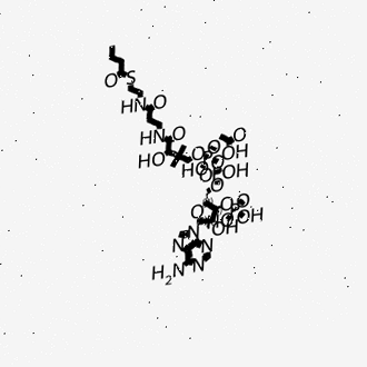 CC(=O)O.CCCC(=O)SCCNC(=O)CCNC(=O)C(O)C(C)(C)COP(=O)(O)OP(=O)(O)OC[C@H]1O[C@@H](n2cnc3c(N)ncnc32)[C@H](O)[C@@H]1OP(=O)(O)O